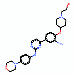 Nc1cc(-c2ccnc(Nc3ccc(N4CCOCC4)cc3)n2)ccc1OC1CCN(CCO)CC1